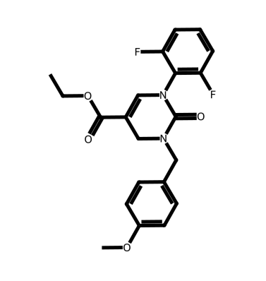 CCOC(=O)C1=CN(c2c(F)cccc2F)C(=O)N(Cc2ccc(OC)cc2)C1